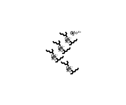 CCCCC(CC)COP(=S)([S-])OCC(CC)CCCC.CCCCC(CC)COP(=S)([S-])OCC(CC)CCCC.CCCCC(CC)COP(=S)([S-])OCC(CC)CCCC.CCCCC(CC)COP(=S)([S-])OCC(CC)CCCC.O=S.[Mo+4]